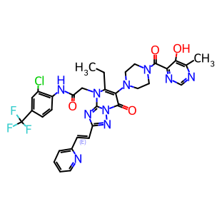 CCc1c(N2CCN(C(=O)c3ncnc(C)c3O)CC2)c(=O)n2nc(/C=C/c3ccccn3)nc2n1CC(=O)Nc1ccc(C(F)(F)F)cc1Cl